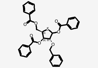 O=C(OC[C@H]1SC(OC(=O)c2ccccc2)[C@H](OCc2ccccc2)[C@H]1OC(=O)c1ccccc1)c1ccccc1